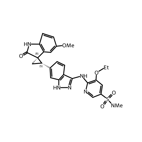 CCOc1cc(S(=O)(=O)NC)cnc1Nc1n[nH]c2cc([C@@H]3C[C@@]34C(=O)Nc3ccc(OC)cc34)ccc12